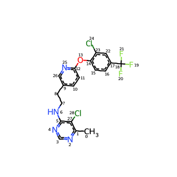 Cc1ncnc(NCCc2ccc(Oc3ccc(C(F)(F)F)cc3Cl)nc2)c1Cl